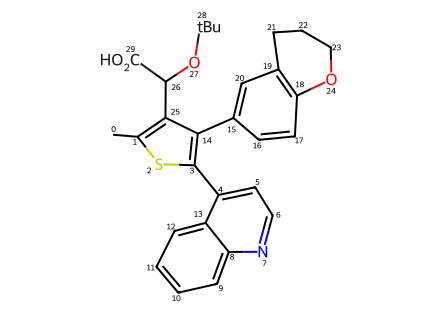 Cc1sc(-c2ccnc3ccccc23)c(-c2ccc3c(c2)CCCO3)c1C(OC(C)(C)C)C(=O)O